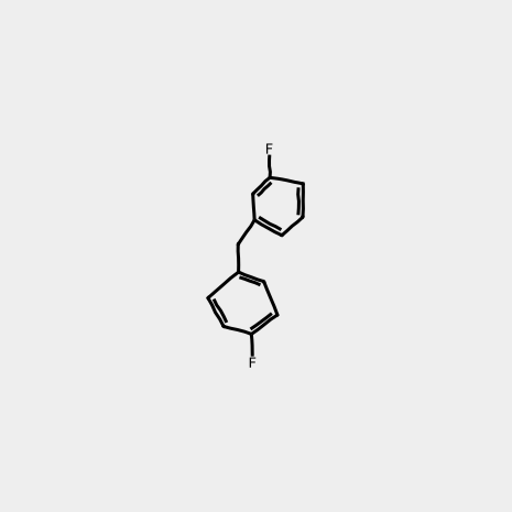 Fc1ccc(Cc2cccc(F)c2)cc1